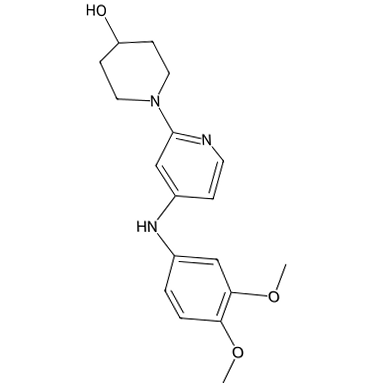 COc1ccc(Nc2ccnc(N3CCC(O)CC3)c2)cc1OC